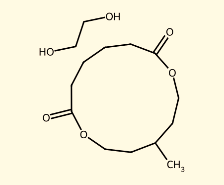 CC1CCOC(=O)CCCCC(=O)OCC1.OCCO